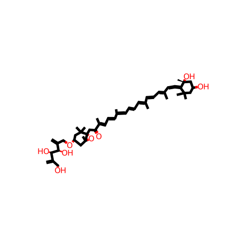 C=C(CO)[C@@H](O)[C@H](O)C(=C)COC1CC(C)(C)C2(CC(=O)/C(C)=C/C=C/C(C)=C/C=C/C=C(C)/C=C/C=C(\C)C=C=C3C(C)(C)CC(O)C[C@@]3(C)O)OC2(C)C1